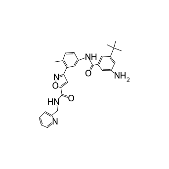 Cc1ccc(NC(=O)c2cc(N)cc(C(C)(C)C)c2)cc1-c1cc(C(=O)NCc2ccccn2)on1